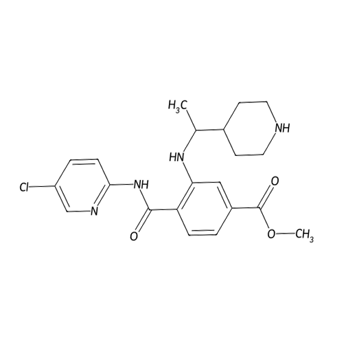 COC(=O)c1ccc(C(=O)Nc2ccc(Cl)cn2)c(NC(C)C2CCNCC2)c1